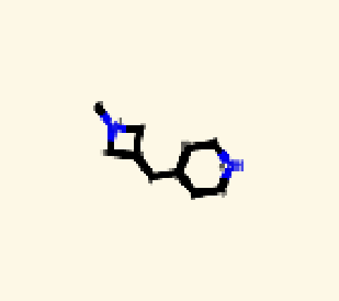 CN1CC(CC2CCNCC2)C1